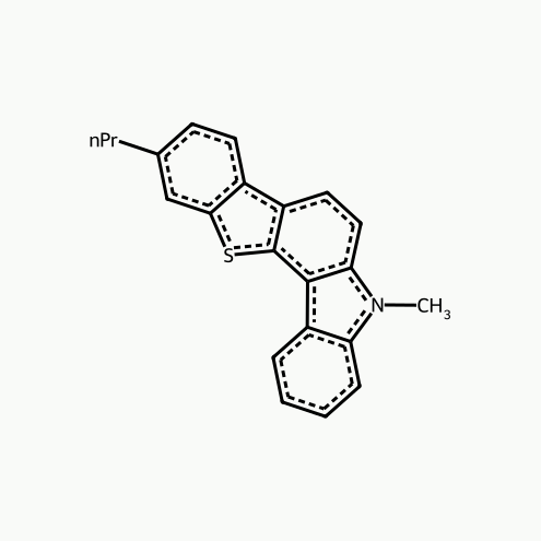 CCCc1ccc2c(c1)sc1c2ccc2c1c1ccccc1n2C